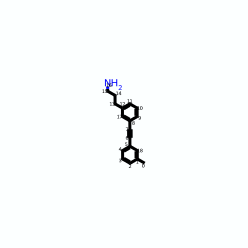 Cc1cccc(C#Cc2cccc(CCCN)c2)c1